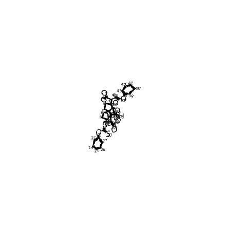 C[C@@H]1C(=O)OC2CC34C5C[C@@H](C(C)(C)C)C36[C@@H](OC(=O)[C@@H]6OC(=S)Oc3ccccc3)OC4(C(=O)O5)[C@]21OC(=S)Oc1ccccc1